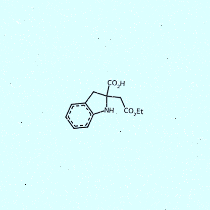 CCOC(=O)CC1(C(=O)O)Cc2ccccc2N1